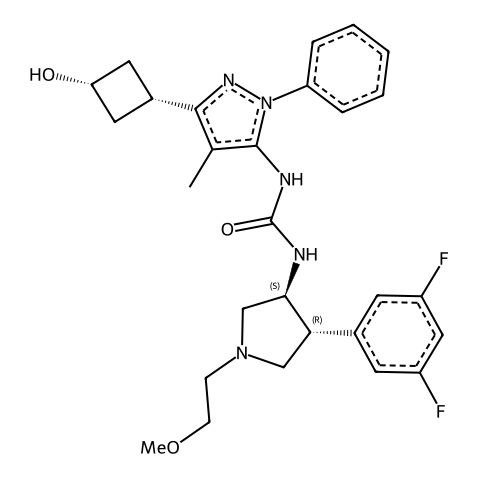 COCCN1C[C@@H](NC(=O)Nc2c(C)c([C@H]3C[C@@H](O)C3)nn2-c2ccccc2)[C@H](c2cc(F)cc(F)c2)C1